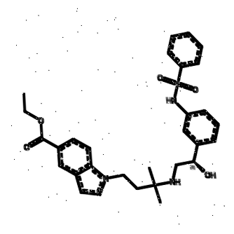 CCOC(=O)c1ccc2c(ccn2CCC(C)(C)NC[C@H](O)c2cccc(NS(=O)(=O)c3ccccc3)c2)c1